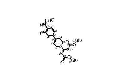 CC(C)(C)OC(=O)N=C(NC(=O)OC(C)(C)C)N1CC=C(c2ccc(NC=O)c(F)c2)CC1